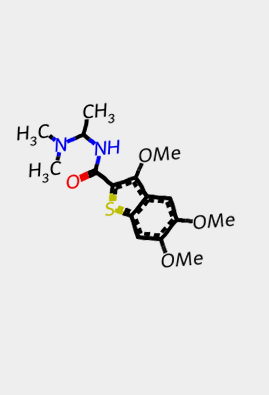 COc1cc2sc(C(=O)NC(C)N(C)C)c(OC)c2cc1OC